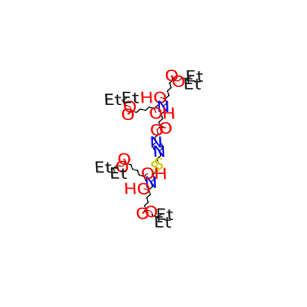 CCC(CC)COC(=O)CCCCC(O)CN(CCCCC(=O)OCCN1CCN(CCSSCCCN(CC(O)CCCCC(=O)OCC(CC)CC)CC(O)CCCCC(=O)OCC(CC)CC)CC1)CC(O)CCCCC(=O)OCC(CC)CC